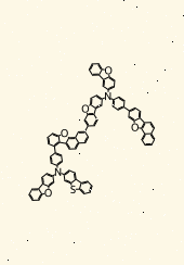 c1ccc2c(c1)ccc1c3ccc(-c4ccc(N(c5ccc6oc7ccccc7c6c5)c5ccc6oc7cc(-c8ccc9ccc%10c(oc%11cccc(-c%12ccc(N(c%13ccc%14c(c%13)oc%13ccccc%13%14)c%13ccc%14c(c%13)sc%13ccccc%13%14)cc%12)c%11%10)c9c8)ccc7c6c5)cc4)cc3oc21